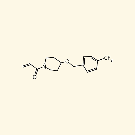 C=CC(=O)N1CCC(OCc2ccc(C(F)(F)F)cc2)CC1